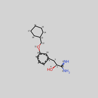 N=C(N)[C@@H](O)Cc1cccc(OCC2CCCCC2)c1